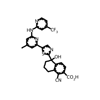 Cc1cc(Nc2cc(C(F)(F)F)ccn2)nc(-c2cnc(C3(O)CCCc4c3ccc(C(=O)O)c4C#N)s2)c1